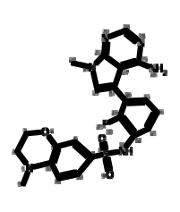 CN1CCOc2cc(S(=O)(=O)Nc3cccc(-c4cn(C)c5ncnc(N)c45)c3F)ccc21